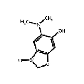 CN(C)c1cc2c(cc1O)OC[S+]2[O-]